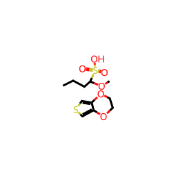 CCCC(OC)S(=O)(=O)O.c1scc2c1OCCO2